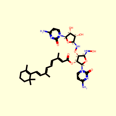 CC(C=CC1=C(C)CCCC1(C)C)=CC=CC(C)=CC(=O)O[C@@H]1[C@H](ON[C@H]2O[C@@H](n3ccc(N)nc3=O)[C@H](O)[C@@H]2O)[C@@H](NO)O[C@H]1n1ccc(N)nc1=O